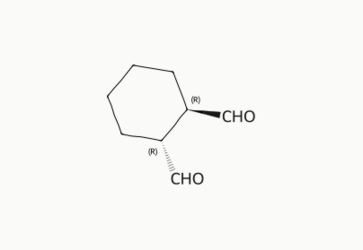 O=C[C@@H]1CCCC[C@H]1C=O